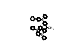 CC(c1ccc(N(c2ccccc2)c2ccc(C3CCCCC3)cc2)cc1)c1ccc(N(c2ccccc2)c2cccc3c2c2ccccc2n3-c2ccccc2)cc1